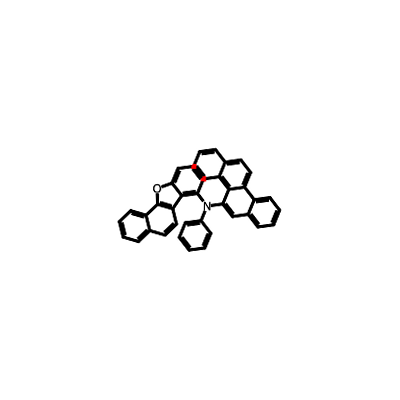 c1ccc(N(c2cccc3oc4c5ccccc5ccc4c23)c2cc3ccccc3c3ccc4ccccc4c23)cc1